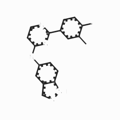 Cc1cc(-c2nccc(Nc3ccc4[nH]ncc4c3)n2)ccc1F